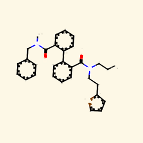 CCCCN(Cc1ccccc1)C(=O)c1ccccc1-c1ccccc1C(=O)N(CCC(=O)O)CCc1cccs1